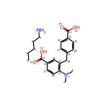 CCCCCN.CN(C)c1ccc(C(=O)O)cc1Cc1ccc(C(=O)O)cc1